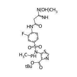 CPN(c1scnc1C(=O)OC(C)(C)C)S(=O)(=O)c1ccc(NC(=O)CC(=N)N(C)O)c(F)c1